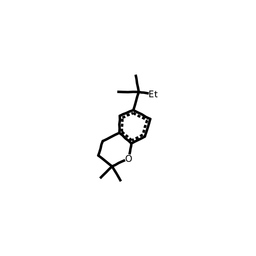 CCC(C)(C)c1ccc2c(c1)CCC(C)(C)O2